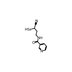 N#CC([SeH])CCNC(=O)c1cccnc1